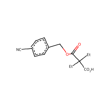 CCC(CC)(C(=O)O)C(=O)OCc1ccc(C#N)cc1